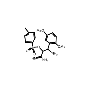 COc1ccc(OC)c(C(N)C(OS(=O)(=O)c2ccc(C)cc2)C(=N)N)c1